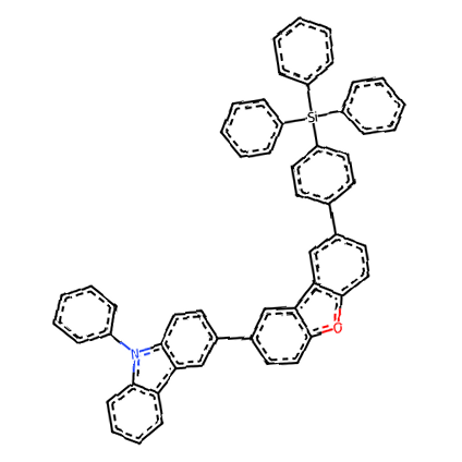 c1ccc(-n2c3ccccc3c3cc(-c4ccc5oc6ccc(-c7ccc([Si](c8ccccc8)(c8ccccc8)c8ccccc8)cc7)cc6c5c4)ccc32)cc1